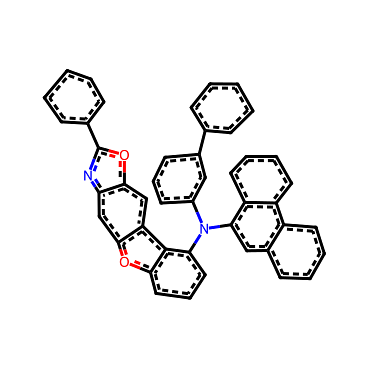 c1ccc(-c2cccc(N(c3cc4ccccc4c4ccccc34)c3cccc4oc5cc6nc(-c7ccccc7)oc6cc5c34)c2)cc1